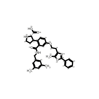 Cc1cc(C)cc(CNC(=O)c2cc(OCCc3nc(-c4ccccc4)oc3C)ccc2C2CCN[C@@H]2C(=O)O)c1